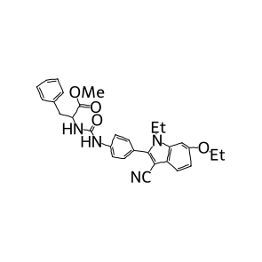 CCOc1ccc2c(C#N)c(-c3ccc(NC(=O)NC(Cc4ccccc4)C(=O)OC)cc3)n(CC)c2c1